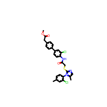 COC(=O)Cc1ccc(-c2ccc(NC(=O)CSc3ncc(C)n3-c3ccc(C)cc3Cl)c(Cl)c2)cc1